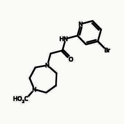 O=C(CN1CCCN(C(=O)O)CC1)Nc1cc(Br)ccn1